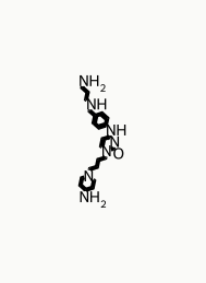 NCCCNCc1ccc(Nc2ccn(CCCCN3CCC(N)CC3)c(=O)n2)cc1